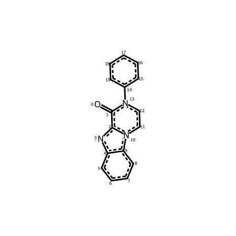 O=c1c2nc3ccccc3n2ccn1-c1ccccc1